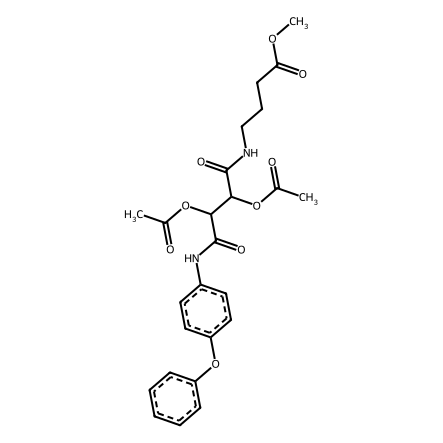 COC(=O)CCCNC(=O)C(OC(C)=O)C(OC(C)=O)C(=O)Nc1ccc(Oc2ccccc2)cc1